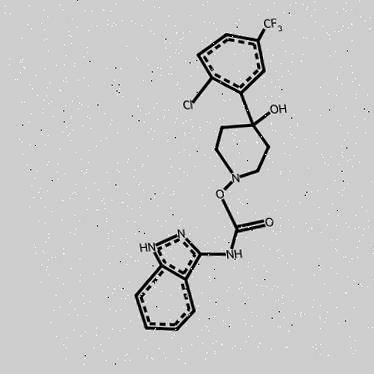 O=C(Nc1n[nH]c2ccccc12)ON1CCC(O)(c2cc(C(F)(F)F)ccc2Cl)CC1